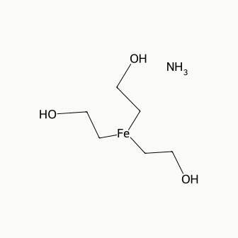 N.OC[CH2][Fe]([CH2]CO)[CH2]CO